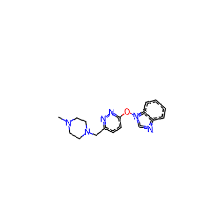 CN1CCN(Cc2ccc(On3cnc4ccccc43)nn2)CC1